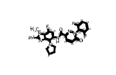 CC(C)c1nc2c(N3CCCC3)c(NC(=O)c3ccc(=O)n(-c4c(F)cccc4F)n3)cc(F)c2n1C